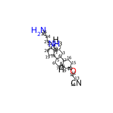 C[C@]12CCC3C(CC[C@H]4C[C@@H](OCCC#N)CCC34)C1CCC2NCCCN